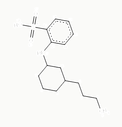 CCCCC1CCCC(Pc2ccccc2S(=O)(=O)O)C1